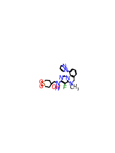 CN(Cc1cccc(-n2cccn2)c1)c1ncnc(NCC2(O)CCS(=O)(=O)CC2)c1F